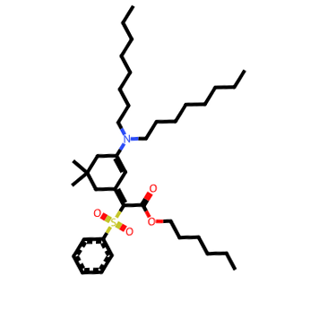 CCCCCCCCN(CCCCCCCC)C1=C/C(=C(\C(=O)OCCCCCC)S(=O)(=O)c2ccccc2)CC(C)(C)C1